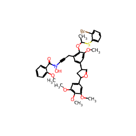 COc1ccccc1C(=O)N(O)C#CCc1cc(C2COC(c3cc(OC)c(OC)c(OC)c3)C2)cc(OC)c1OC(C)Sc1ccccc1Br